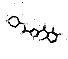 O=C(NC1CCNCC1)c1cc(C(=O)c2c(Cl)ccc(Cl)c2F)c[nH]1